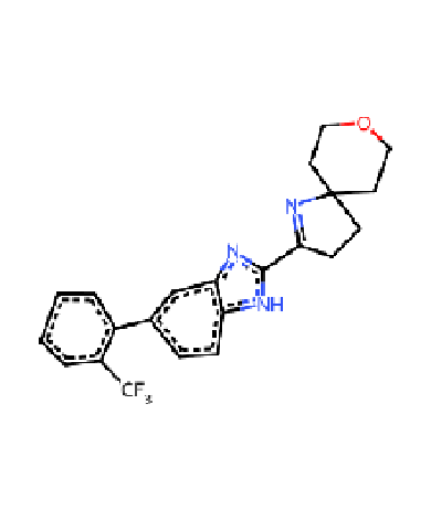 FC(F)(F)c1ccccc1-c1ccc2[nH]c(C3=NC4(CCOCC4)CC3)nc2c1